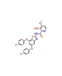 COc1ccnc(C(=O)Nc2nc3cc(Oc4ccc(F)cc4)cc(Oc4ccc(F)cc4)c3s2)c1O